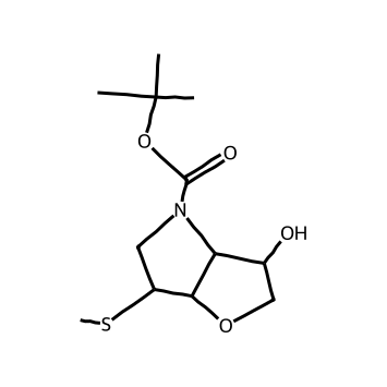 CSC1CN(C(=O)OC(C)(C)C)C2C(O)COC12